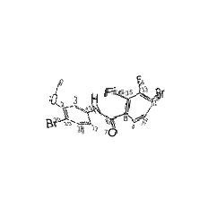 COc1cc(NC(=O)c2ccc(Br)c(F)c2F)ccc1Br